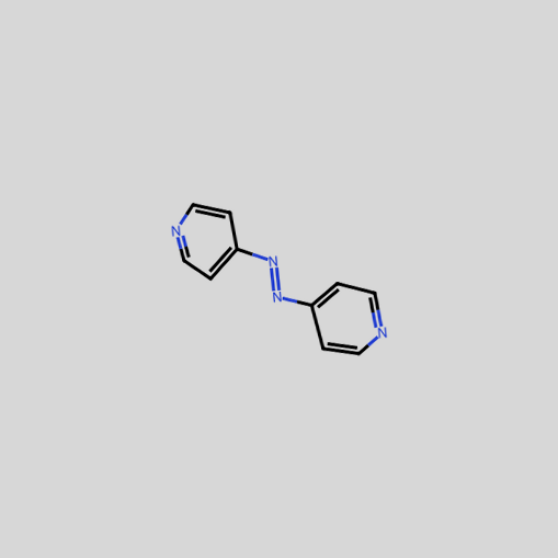 c1cc(N=Nc2ccncc2)ccn1